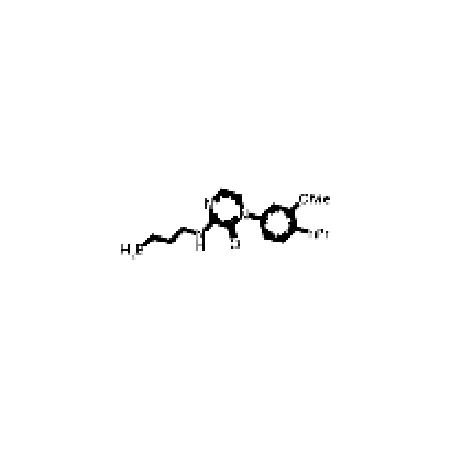 BCCCNc1nccn(-c2ccc(CCC)c(OC)c2)c1=O